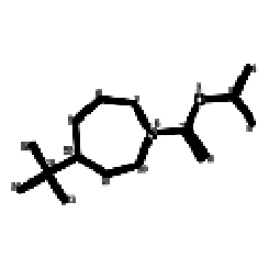 C=C(OC(C)C)N1CCCC(C(C)(C)C)CC1